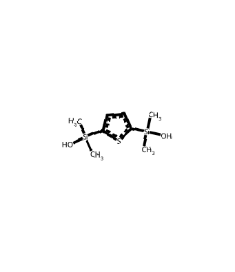 C[Si](C)(O)c1ccc([Si](C)(C)O)s1